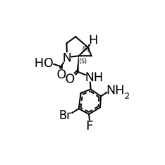 Nc1cc(F)c(Br)cc1NC(=O)[C@]12C[C@H]1CCN2C(=O)O